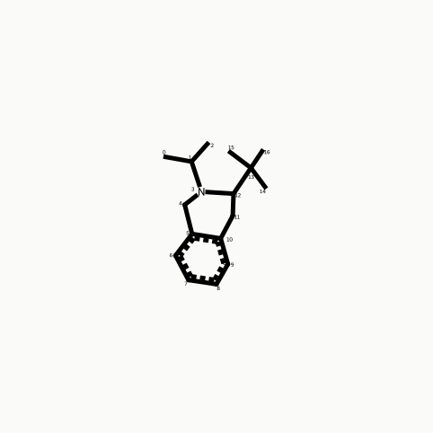 CC(C)N1Cc2ccccc2CC1C(C)(C)C